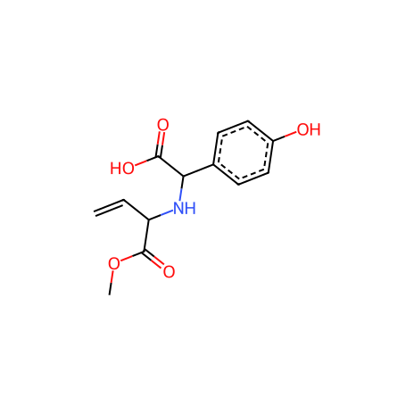 C=CC(NC(C(=O)O)c1ccc(O)cc1)C(=O)OC